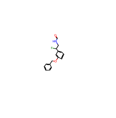 O=CNCC(F)c1cccc(OCc2ccccc2)c1